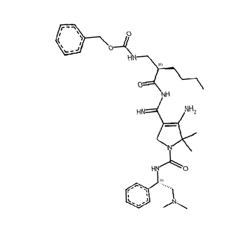 CCCC[C@H](CNC(=O)OCc1ccccc1)C(=O)NC(=N)C1=C(N)C(C)(C)N(C(=O)N[C@H](CN(C)C)c2ccccc2)C1